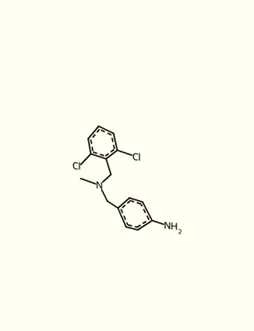 CN(Cc1ccc(N)cc1)Cc1c(Cl)cccc1Cl